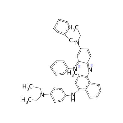 CCN(Cc1ccccc1)C1=CC(=N\c2ccccc2)/C(=N\c2c(C)cc(Nc3ccc(N(CC)CC)cc3)c3ccccc23)C=C1